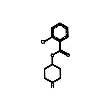 O=C(OC1CCNCC1)c1ccccc1Cl